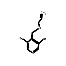 C=CCOCc1c(Br)cncc1Br